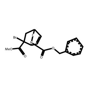 COC(=O)C1(Br)CC2C=CC1N(C(=O)OCc1ccccc1)C2